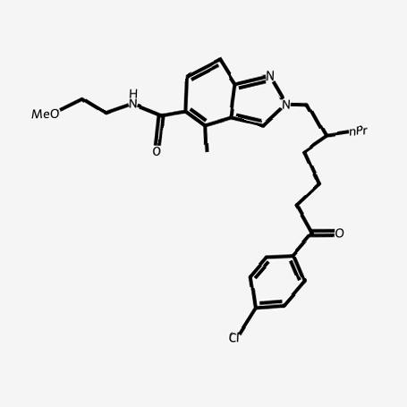 CCCC(CCCC(=O)c1ccc(Cl)cc1)Cn1cc2c(C)c(C(=O)NCCOC)ccc2n1